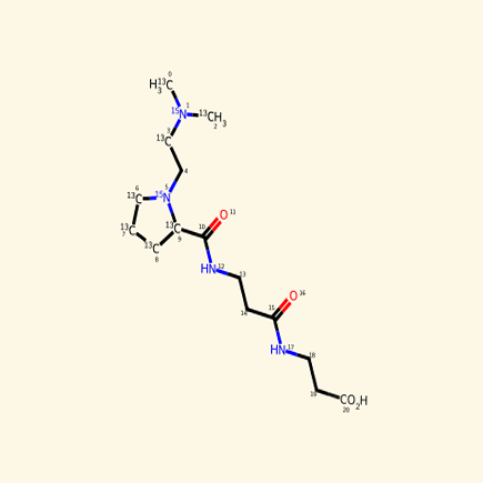 [13CH3][15N]([13CH3])[13CH2]C[15N]1[13CH2][13CH2][13CH2][13CH]1C(=O)NCCC(=O)NCCC(=O)O